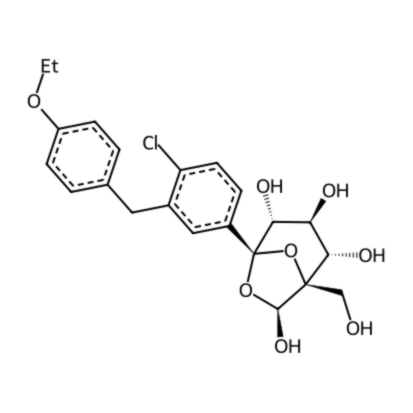 CCOc1ccc(Cc2cc([C@]34O[C@H](O)[C@](CO)(O3)[C@@H](O)[C@H](O)[C@H]4O)ccc2Cl)cc1